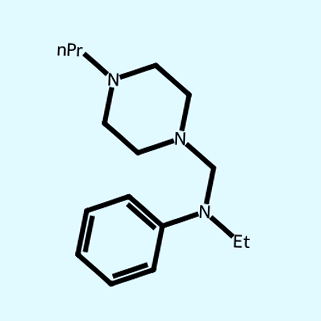 CCCN1CCN(CN(CC)c2ccccc2)CC1